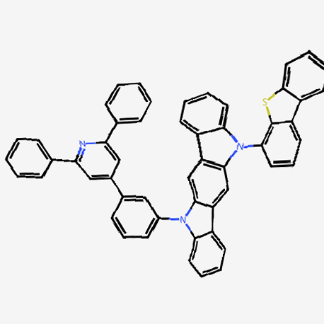 c1ccc(-c2cc(-c3cccc(-n4c5ccccc5c5cc6c(cc54)c4ccccc4n6-c4cccc5c4sc4ccccc45)c3)cc(-c3ccccc3)n2)cc1